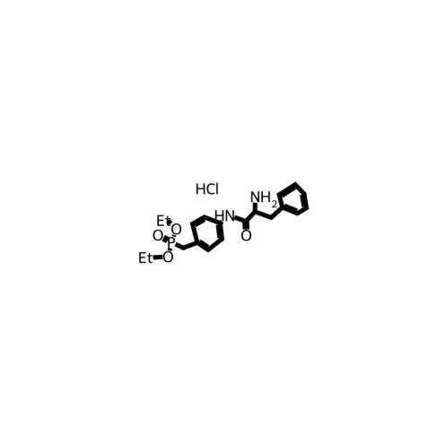 CCOP(=O)(Cc1ccc(NC(=O)C(N)Cc2ccccc2)cc1)OCC.Cl